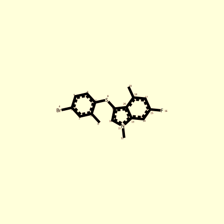 Cc1cc(Br)ccc1Sc1cn(C)c2cc(F)cc(C)c12